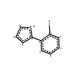 Ic1ccccc1-c1cccs1